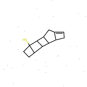 SC12CCC1C1C3C4CC=C4CC3C12